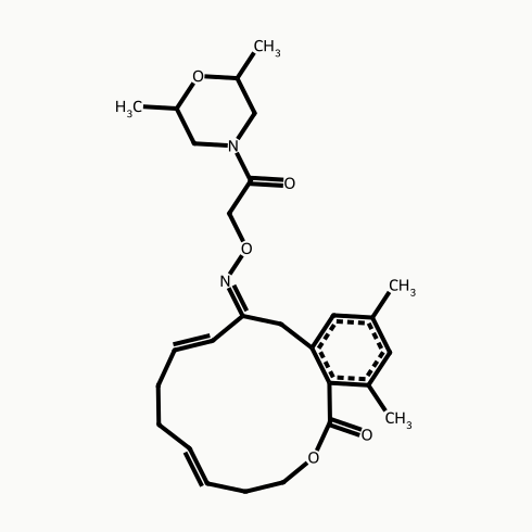 Cc1cc(C)c2c(c1)CC(=N\OCC(=O)N1CC(C)OC(C)C1)/C=C/CC/C=C/CCOC2=O